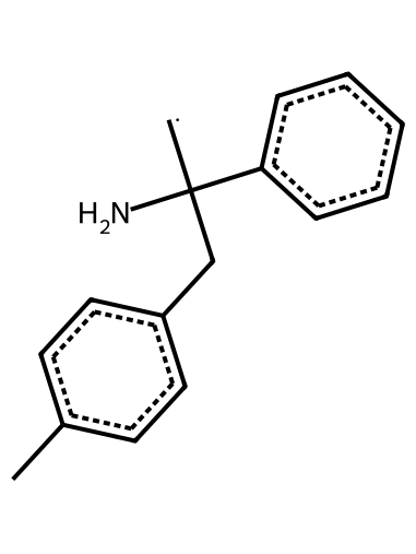 [CH2]C(N)(Cc1ccc(C)cc1)c1ccccc1